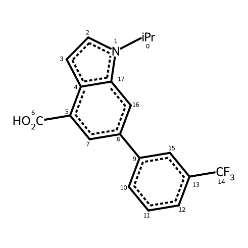 CC(C)n1ccc2c(C(=O)O)cc(-c3cccc(C(F)(F)F)c3)cc21